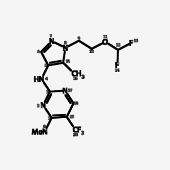 CNc1nc(Nc2cnn(CCOC(F)F)c2C)ncc1C(F)(F)F